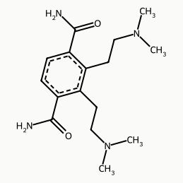 CN(C)CCc1c(C(N)=O)ccc(C(N)=O)c1CCN(C)C